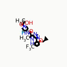 Cc1[nH]c2c(-c3cc(C(F)(F)F)ccc3OCC3CC3)ncnc2c1C(=O)N[C@H]1CCN(C(=O)[C@H](C)O)C[C@@H]1F